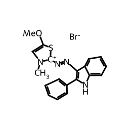 COc1cn(C)[c+](N=Nc2c(-c3ccccc3)[nH]c3ccccc23)s1.[Br-]